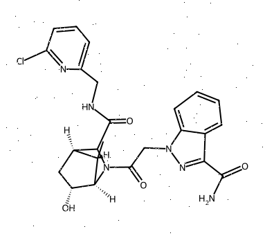 C[C@@H]1[C@@H]2[C@H](O)C[C@H]1C(C(=O)NCc1cccc(Cl)n1)N2C(=O)Cn1nc(C(N)=O)c2ccccc21